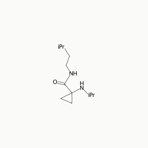 CC(C)CCNC(=O)C1(NC(C)C)CC1